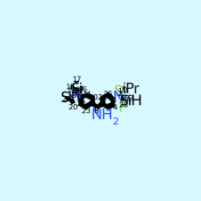 CC(C)SN(c1ccc(C(N)c2ccc(N([Si](C)(C)C)[Si](C)(C)C)cc2)cc1)[SiH](C)F